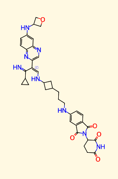 N=C(/C(=C\NC1CC(CCCNc2ccc3c(c2)C(=O)N(C2CCC(=O)NC2=O)C3=O)C1)c1cnc2cc(NC3COC3)ccc2n1)C1CC1